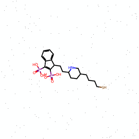 O=P(O)(O)C1=C(P(=O)(O)O)C(CCC2CCC(CCCCS)CN2)c2ccccc21